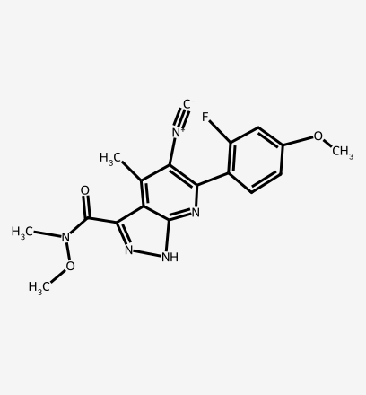 [C-]#[N+]c1c(-c2ccc(OC)cc2F)nc2[nH]nc(C(=O)N(C)OC)c2c1C